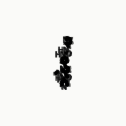 CCNc1nc(-c2ccc(NC(=O)NCc3cccnc3)cc2)ccc1C(=O)Nc1ccncc1